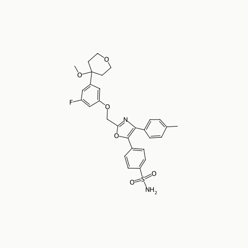 COC1(c2cc(F)cc(OCc3nc(-c4ccc(C)cc4)c(-c4ccc(S(N)(=O)=O)cc4)o3)c2)CCOCC1